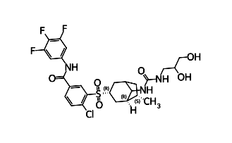 C[C@H]1CC2C[C@@H](S(=O)(=O)c3cc(C(=O)Nc4cc(F)c(F)c(F)c4)ccc3Cl)C[C@H]1C2NC(=O)NCC(O)CO